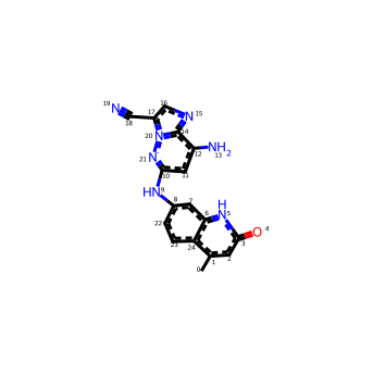 Cc1cc(=O)[nH]c2cc(Nc3cc(N)c4ncc(C#N)n4n3)ccc12